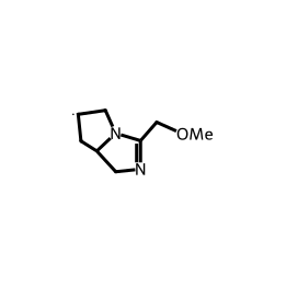 COCC1=NCC2C[CH]CN12